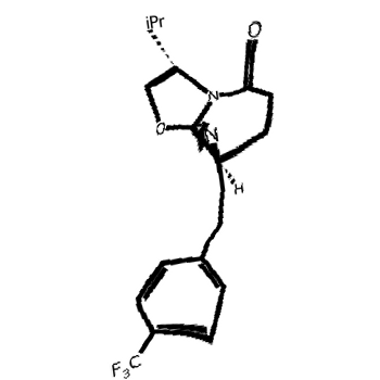 CC(C)[C@H]1CO[C@]23CCN(Cc4ccc(C(F)(F)F)cc4)[C@H]2CCC(=O)N13